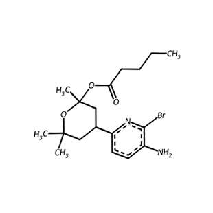 CCCCC(=O)OC1(C)CC(c2ccc(N)c(Br)n2)CC(C)(C)O1